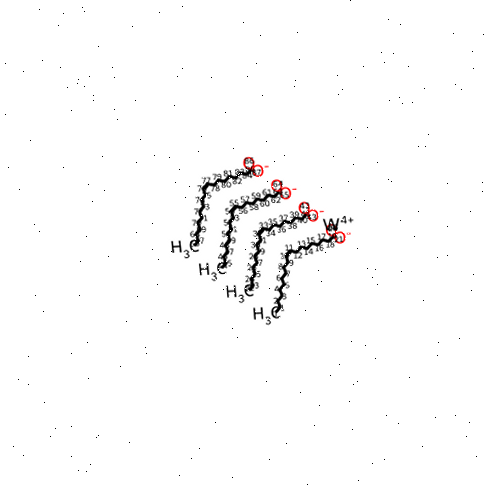 CCCCCCCCCC/C=C\CCCCCCCC(=O)[O-].CCCCCCCCCC/C=C\CCCCCCCC(=O)[O-].CCCCCCCCCC/C=C\CCCCCCCC(=O)[O-].CCCCCCCCCC/C=C\CCCCCCCC(=O)[O-].[W+4]